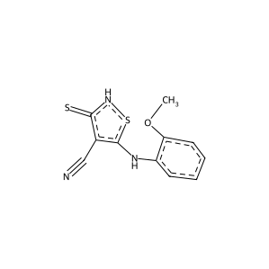 COc1ccccc1Nc1s[nH]c(=S)c1C#N